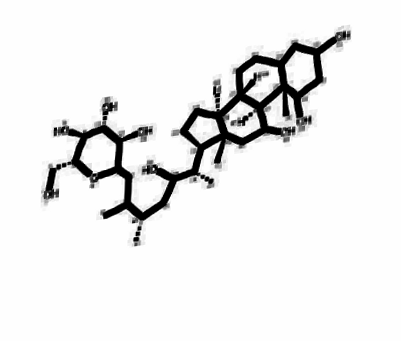 CC(CC1O[C@H](CO)[C@@H](O)[C@H](O)[C@H]1O)[C@@H](C)CC(O)[C@@H](C)[C@H]1CC[C@H]2[C@@H]3CCC4CC(O)CC(O)[C@]4(C)[C@H]3C(O)C[C@]12C